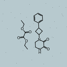 CCOC(=O)C(=O)OCC.O=C1NCCN(C2CC(c3ccccc3)C2)C1=O